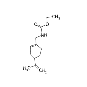 C=C(C)C1CC=C(CNC(=O)OCC)CC1